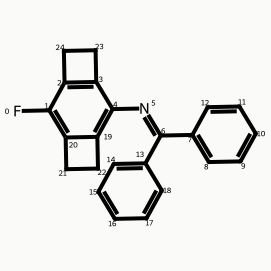 Fc1c2c(c(N=C(c3ccccc3)c3ccccc3)c3c1CC3)CC2